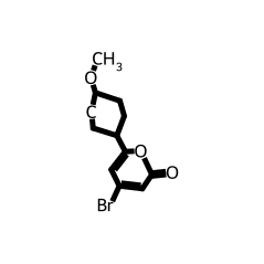 COC1CCC(c2cc(Br)cc(=O)o2)CC1